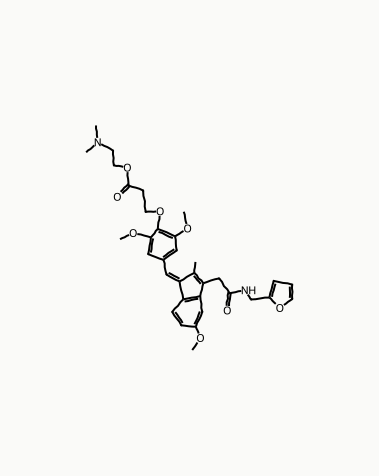 COc1ccc2c(c1)C(CC(=O)NCc1ccco1)=C(C)C2=Cc1cc(OC)c(OCCC(=O)OCCN(C)C)c(OC)c1